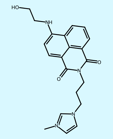 C[n+]1ccn(CCCN2C(=O)c3cccc4c(NCCO)ccc(c34)C2=O)c1